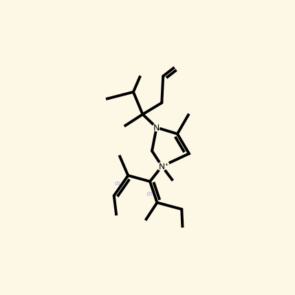 C=CCC(C)(C(C)C)N1C[N+](C)(C(/C(C)=C\C)=C(/C)CC)C=C1C